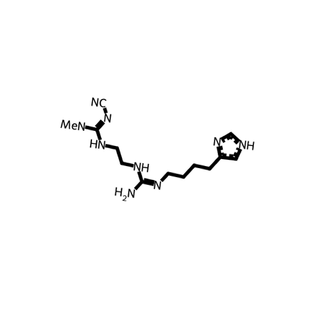 CNC(=NC#N)NCCNC(N)=NCCCCc1c[nH]cn1